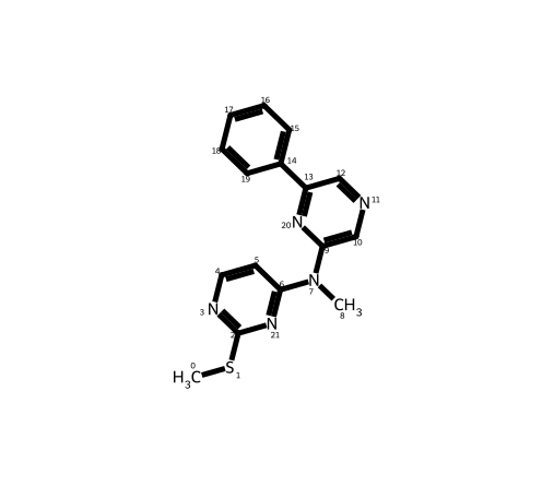 CSc1nccc(N(C)c2cncc(-c3ccccc3)n2)n1